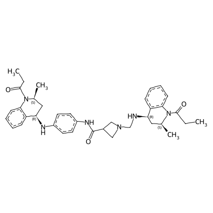 CCC(=O)N1c2ccccc2[C@H](NCN2CC(C(=O)Nc3ccc(N[C@@H]4C[C@H](C)N(C(=O)CC)c5ccccc54)cc3)C2)C[C@@H]1C